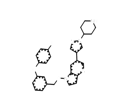 Fc1ccc(Oc2cccc(COn3ccc4ncc(-c5cnn(C6CCNCC6)c5)cc43)c2)cc1